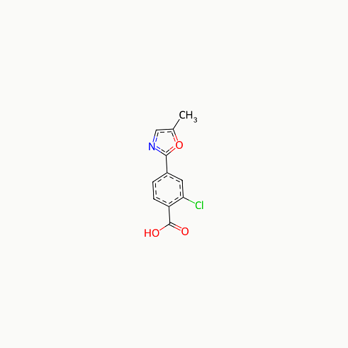 Cc1cnc(-c2ccc(C(=O)O)c(Cl)c2)o1